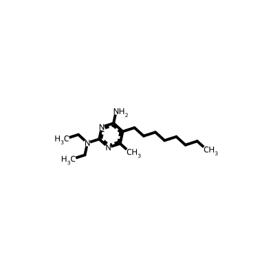 CCCCCCCCc1c(C)nc(N(CC)CC)nc1N